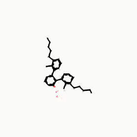 CCCCCc1cccc(-c2cccc(OPO)c2-c2cccc(CCCCC)c2C)c1C